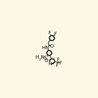 N[S+]([O-])c1cc(NC(=O)Cc2ccc(F)c(F)c2)ccc1-c1cncc(C(F)(F)F)c1